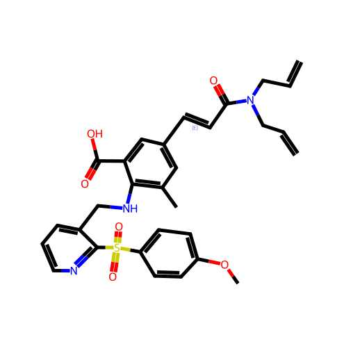 C=CCN(CC=C)C(=O)/C=C/c1cc(C)c(NCc2cccnc2S(=O)(=O)c2ccc(OC)cc2)c(C(=O)O)c1